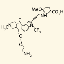 COc1ccc(C(=O)O)cc1NCC#Cc1cc2c(NC3CCN(C)CC3CCOCCOCCN)cccc2n1CC(F)(F)F